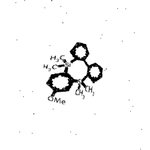 COc1ccc2c(c1)[Si](C)(C)c1ccccc1-c1ccccc1[Si]2(C)C